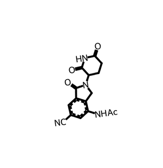 CC(=O)Nc1cc(C#N)cc2c1CN(C1CCC(=O)NC1=O)C2=O